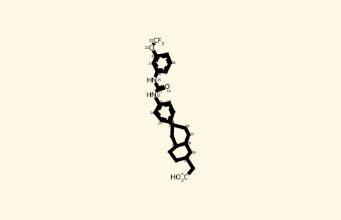 O=C(O)CC1CCC2CC(c3ccc(NC(=O)Nc4cccc(OC(F)(F)F)c4)cc3)CCC2C1